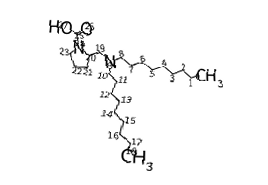 CCCCCCCCCN(CCCCCCCCC)CC1CCCN1C(=O)O